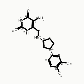 Nc1c(CN[C@@H]2CC[C@H](c3ccc(Cl)c(Cl)c3)C2)[nH]c(=O)[nH]c1=O